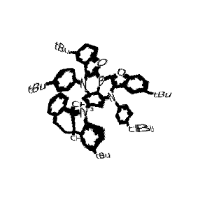 CC(C)(C)c1ccc(N2c3cc(N4c5ccc(C(C)(C)C)cc5C5(C)CCc6ccccc6C45C)cc4c3B(c3oc5ccc(C(C)(C)C)cc5c32)c2oc3ccc(C(C)(C)C)cc3c2N4c2ccc(C(C)(C)C)cc2)cc1